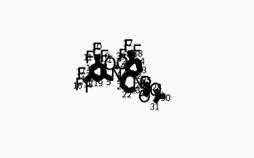 COC(=O)N(Cc1cc(C(F)(F)F)cc(C(F)(F)F)c1)C1CCCN(OC(=O)OC(C)C)c2ccc(C(F)(F)F)cc21